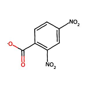 [O]C(=O)c1ccc([N+](=O)[O-])cc1[N+](=O)[O-]